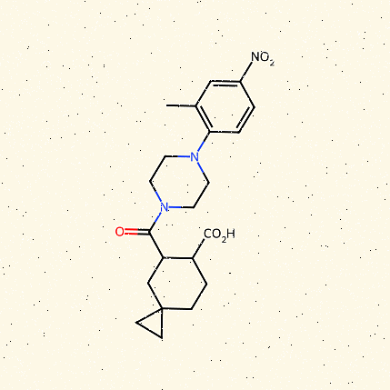 Cc1cc([N+](=O)[O-])ccc1N1CCN(C(=O)C2CC3(CCC2C(=O)O)CC3)CC1